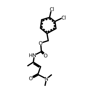 CC(=CC(=O)N(C)C)NC(=O)OCc1ccc(Cl)c(Cl)c1